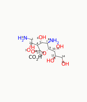 NCC(=O)C1[C@H](O)[C@@H](N)[C@H]([C@H](O)[C@H](O)CO)OC1(O)C(=O)O